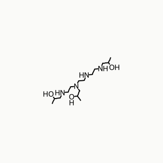 CC(O)CNCCNCCN(CCNCC(C)O)CC(C)O